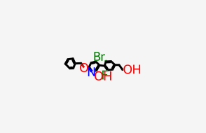 OCCc1cc(F)c(-c2ccc(OCc3ccccc3)nc2O)c(Br)c1